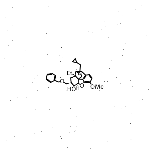 CC[C@]12C[C@H](COCc3ccccc3)C(O)[C@@H]3Oc4c(OC)ccc5c4C31CCN(CC1CC1)C2C5